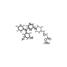 CC(C)(C)OC(=O)COCC1CCN(c2cncc(N(c3ccccc3)c3cc(F)cc(F)c3)n2)CC1